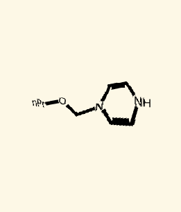 CCCOCN1C=CNC=C1